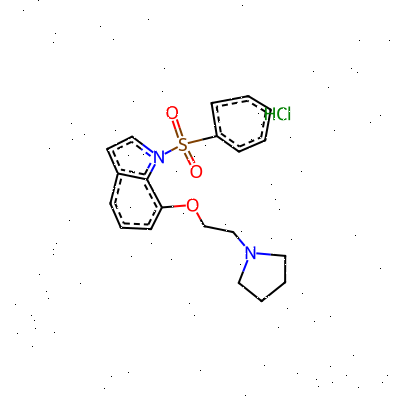 Cl.O=S(=O)(c1ccccc1)n1ccc2cccc(OCCN3CCCC3)c21